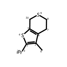 Cc1c(C(C)C)sc2c1CCSC2